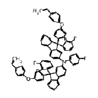 C=Cc1ccc(Oc2ccc(C3(c4cccc(F)c4F)c4ccccc4-c4ccc(N(c5ccc(F)cc5)c5ccc6c(c5)C(c5ccc(Oc7ccc(C=C)cc7)cc5)(c5cccc(F)c5F)c5ccccc5-6)cc43)cc2)cc1